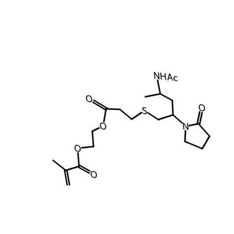 C=C(C)C(=O)OCCOC(=O)CCSCC(CC(C)NC(C)=O)N1CCCC1=O